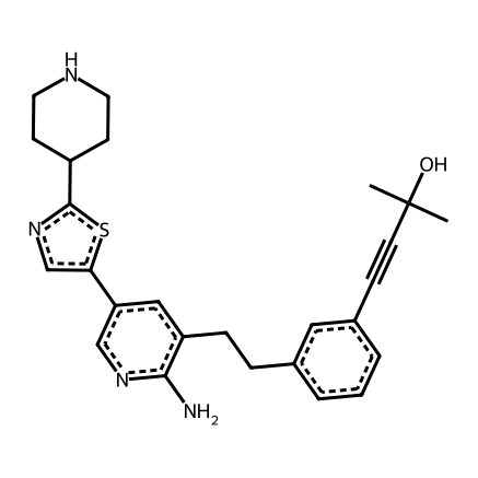 CC(C)(O)C#Cc1cccc(CCc2cc(-c3cnc(C4CCNCC4)s3)cnc2N)c1